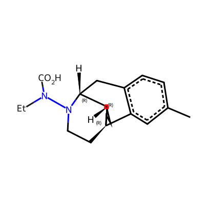 CCN(C(=O)O)N1CC[C@]23CCCC[C@H]2[C@H]1Cc1ccc(C)cc13